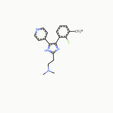 CN(C)CCc1nc(-c2cccc(C(=O)O)c2F)c(-c2ccncc2)[nH]1